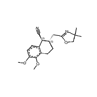 COc1ccc2c(c1OC)CC[C@@H](CC1=NC(C)(C)CO1)[C@@H]2C#N